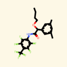 CCCCOC(C(=O)Nc1c(F)c(F)c(C(F)(F)F)c(F)c1F)c1cc(C)cc(C)c1